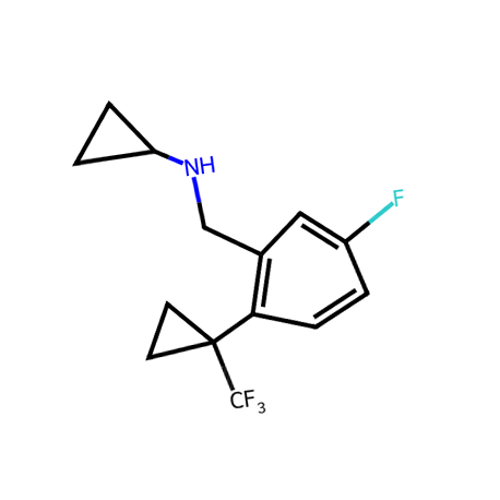 Fc1ccc(C2(C(F)(F)F)CC2)c(CNC2CC2)c1